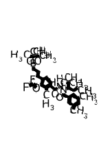 CCCC(N(NC(=O)c1ccc(CCCB2OC(C)(C)C(C)(C)O2)c(OC(F)F)c1C)C(=O)c1cc(C)cc(C)c1)C(C)(C)C